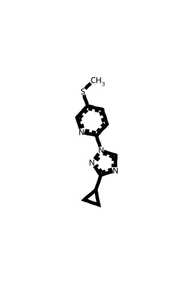 CSc1ccc(-n2cnc(C3CC3)n2)nc1